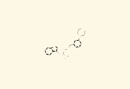 OB(O)[C@H](Cc1coc2ccccc12)NSCc1cccc(N2CCOCC2)c1